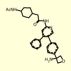 CC(=O)NC1CCC(CC(=O)Nc2cc(-c3ccccc3)c(-c3ccc(C4(N)COC4)cc3)cn2)CC1